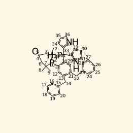 CC1(C)CC(=O)CC(C)(C)P1c1cc(Cc2ccccc2)c(Cc2ccccc2)cc1C(P)(c1ccc[nH]1)c1ccc[nH]1